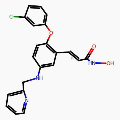 O=C(/C=C/c1cc(NCc2ccccn2)ccc1Oc1cccc(Cl)c1)NO